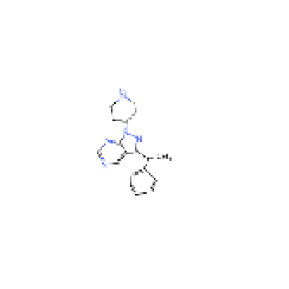 CC(c1ccccc1)c1nn(C2CCNCC2)c2ncncc12